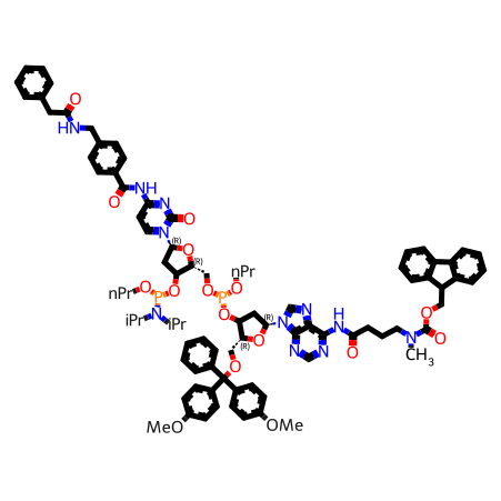 CCCOP(OC[C@H]1O[C@@H](n2ccc(NC(=O)c3ccc(CNC(=O)Cc4ccccc4)cc3)nc2=O)CC1OP(OCCC)N(C(C)C)C(C)C)OC1C[C@H](n2cnc3c(NC(=O)CCCN(C)C(=O)OCC4c5ccccc5-c5ccccc54)ncnc32)O[C@@H]1COC(c1ccccc1)(c1ccc(OC)cc1)c1ccc(OC)cc1